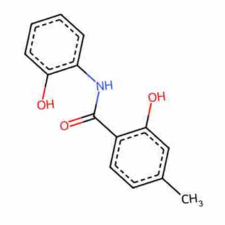 Cc1ccc(C(=O)Nc2ccccc2O)c(O)c1